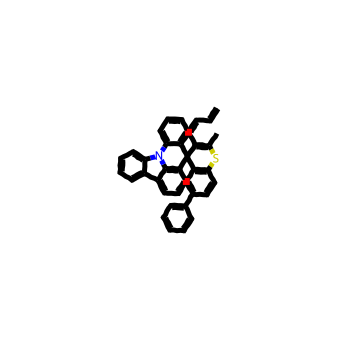 C=C/C=C\C1=C(C)Sc2ccc(-c3ccccc3)cc2C12c1ccccc1-n1c3ccccc3c3cccc2c31